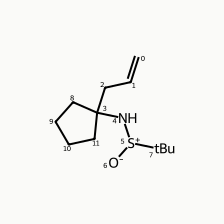 C=CCC1(N[S+]([O-])C(C)(C)C)CCCC1